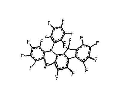 Fc1c(F)c(F)c(B(c2c(F)c(F)c(F)c(F)c2F)c2c(F)c(F)c(F)c3c2C(F)(F)c2c(F)c(F)c(F)c(F)c2-3)c(F)c1F